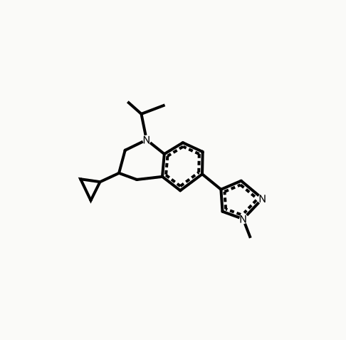 CC(C)N1CC(C2CC2)Cc2cc(-c3cnn(C)c3)ccc21